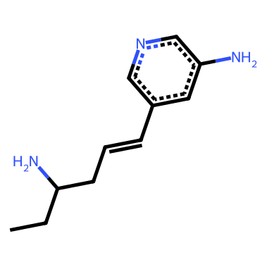 CCC(N)CC=Cc1cncc(N)c1